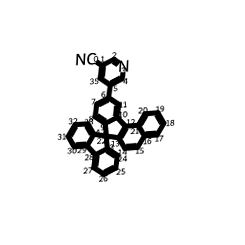 N#Cc1cncc(-c2ccc3c(c2)-c2c(ccc4ccccc24)C32c3ccccc3-c3ccccc32)c1